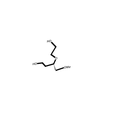 COC[C@H](CCO)OCCO